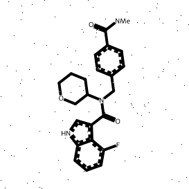 CNC(=O)c1ccc(CN(C(=O)c2c[nH]c3cccc(F)c23)C2CCCOC2)cc1